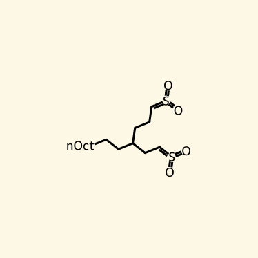 CCCCCCCCCCC(CC=S(=O)=O)CCC=S(=O)=O